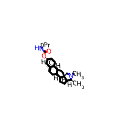 CCCNC(=O)O[C@H]1CC[C@@]2(C)C(=CC[C@H]3[C@@H]4CC[C@@H]5[C@H](C)N(C)C[C@@]54CC[C@@H]32)C1